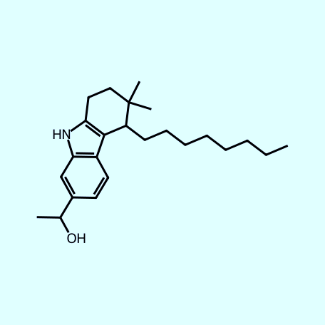 CCCCCCCCC1c2c([nH]c3cc(C(C)O)ccc23)CCC1(C)C